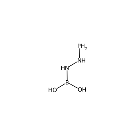 OB(O)NNP